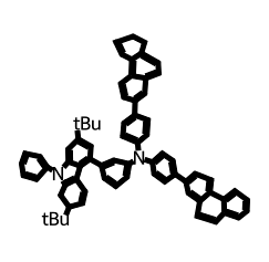 CC(C)(C)c1cc(-c2cccc(N(c3ccc(-c4ccc5c6c(ccc5c4)CCC=C6)cc3)c3ccc(-c4ccc5c(ccc6ccccc65)c4)cc3)c2)c2c3c(n(-c4ccccc4)c2c1)CC(C(C)(C)C)C=C3